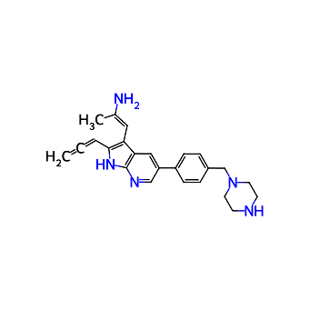 C=C=Cc1[nH]c2ncc(-c3ccc(CN4CCNCC4)cc3)cc2c1/C=C(\C)N